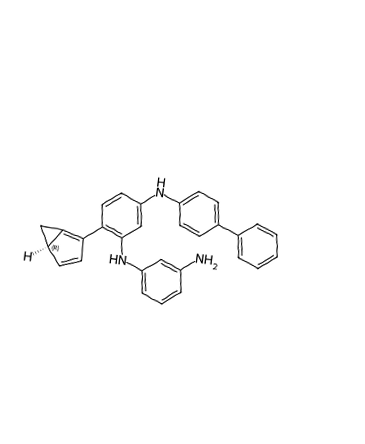 Nc1cccc(Nc2cc(Nc3ccc(-c4ccccc4)cc3)ccc2C2=C3C[C@@H]3C=C2)c1